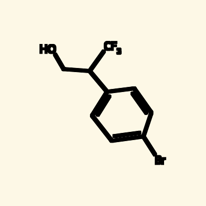 OCC(c1ccc(Br)cc1)C(F)(F)F